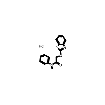 CN(C(=O)COc1nc2ccccc2s1)c1ccccc1.Cl